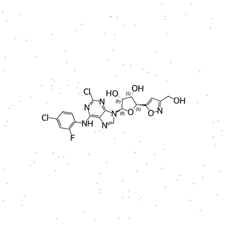 OCc1cc([C@H]2O[C@@H](n3cnc4c(Nc5ccc(Cl)cc5F)nc(Cl)nc43)[C@H](O)[C@@H]2O)on1